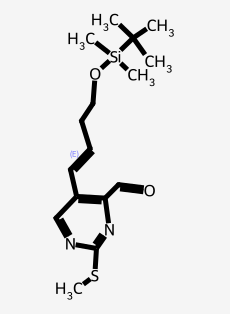 CSc1ncc(/C=C/CCO[Si](C)(C)C(C)(C)C)c(C=O)n1